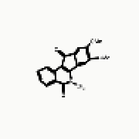 COc1cc2c(cc1OC)-c1c(c3ccccc3c(=O)n1C)C2=O